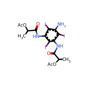 CC(=O)OC(C)C(=O)Nc1c(I)c(N)c(I)c(NC(=O)C(C)OC(C)=O)c1I